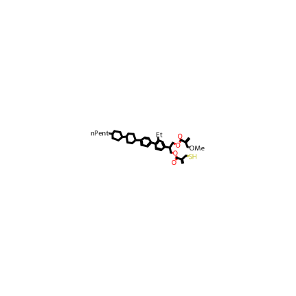 C=C(CS)C(=O)OCC(COC(=O)C(=C)COC)c1ccc(-c2ccc(C3CCC(C4CCC(CCCCC)CC4)CC3)cc2)c(CC)c1